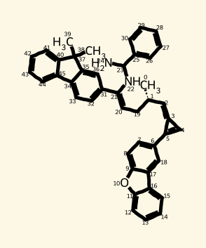 C[C@H](/C=C1C=C/1c1ccc2oc3ccccc3c2c1)C/C=C(\NC(N)c1ccccc1)c1ccc2c(c1)C(C)(C)c1ccccc1-2